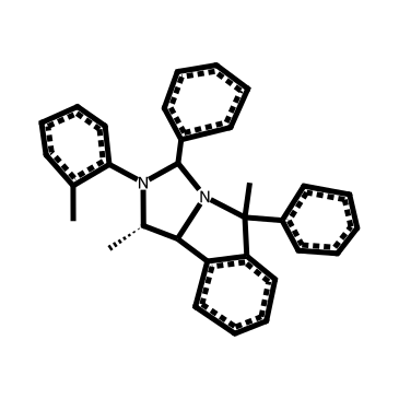 Cc1ccccc1N1C(c2ccccc2)N2C(c3ccccc3C2(C)c2ccccc2)[C@@H]1C